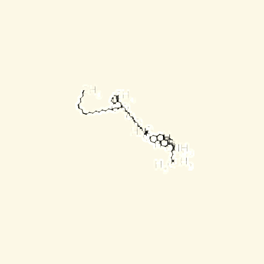 CCCCC/C=C\C/C=C\CCCCCCCCOCC(CC1CCCN1C)OCCOCCOCCNC(=O)O[C@H]1CC[C@@]2(C)C(=CC[C@H]3[C@@H]4CC[C@H]([C@H](C)CCCC(C)C)[C@@]4(C)CC[C@@H]32)C1